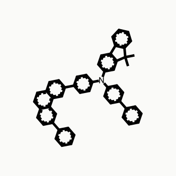 CC1(C)c2ccccc2-c2ccc(N(c3ccc(-c4ccccc4)cc3)c3ccc(-c4ccc5ccc6ccc(-c7ccccc7)cc6c5c4)cc3)cc21